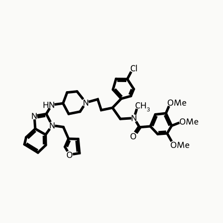 COc1cc(C(=O)N(C)CC(CCN2CCC(Nc3nc4ccccc4n3Cc3ccoc3)CC2)c2ccc(Cl)cc2)cc(OC)c1OC